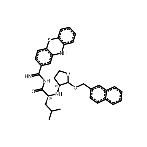 CC(C)C[C@H](N[C@H]1CCOC1OCc1ccc2ccccc2c1)C(=O)NC(=N)c1ccc2c(c1)Nc1ccccc1S2